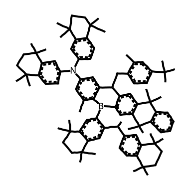 Cc1cc(C(C)(C)C)ccc1CC1c2cc3c(cc2B(c2cc4c(cc2C(C)c2ccc5c(c2)C(C)(C)CCC5(C)C)C(C)(C)CCC4(C)C)c2c(C)cc(N(c4ccc5c(c4)C(C)(C)CCC5(C)C)c4ccc5c(c4)C(C)(C)CCC5(C)C)cc21)C(C)(C)c1ccccc1C3(C)C